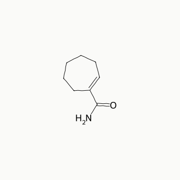 NC(=O)C1=CCCCCC1